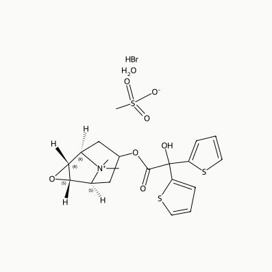 Br.CS(=O)(=O)[O-].C[N+]1(C)[C@@H]2CC(OC(=O)C(O)(c3cccs3)c3cccs3)C[C@H]1[C@@H]1O[C@@H]12.O